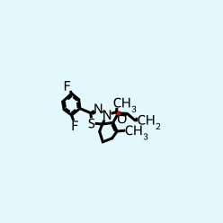 C=C/C=C\C1=C(C)CCCC12SC(c1cc(F)ccc1F)=NN2C(C)=O